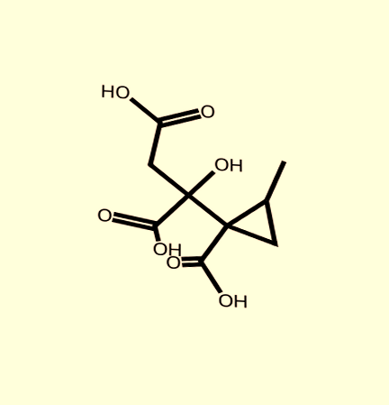 CC1CC1(C(=O)O)C(O)(CC(=O)O)C(=O)O